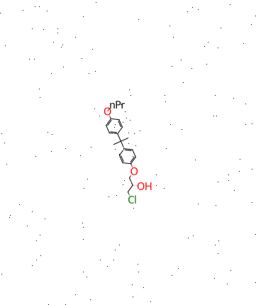 C[CH][CH]Oc1ccc(C(C)(C)c2ccc(OC[C@H](O)CCl)cc2)cc1